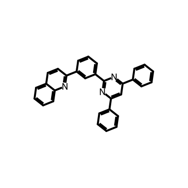 c1ccc(-c2cc(-c3ccccc3)nc(-c3cccc(-c4ccc5ccccc5n4)c3)n2)cc1